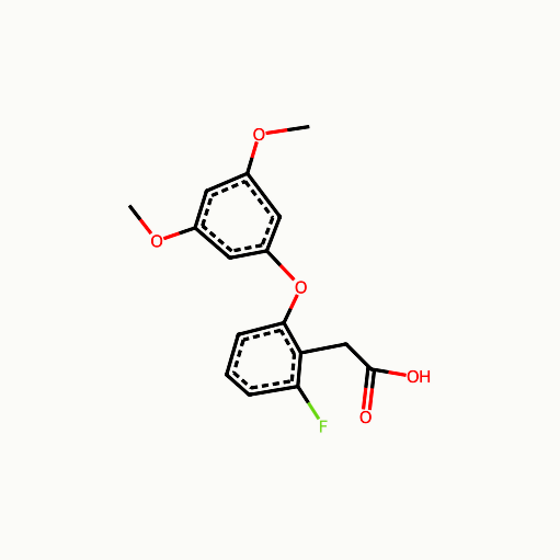 COc1cc(OC)cc(Oc2cccc(F)c2CC(=O)O)c1